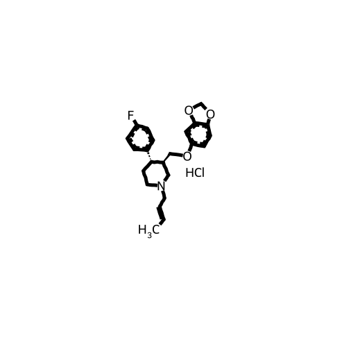 C/C=C/CN1CC[C@H](c2ccc(F)cc2)[C@@H](COc2ccc3c(c2)OCO3)C1.Cl